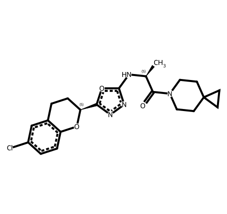 C[C@H](Nc1nnc([C@@H]2CCc3cc(Cl)ccc3O2)o1)C(=O)N1CCC2(CC1)CC2